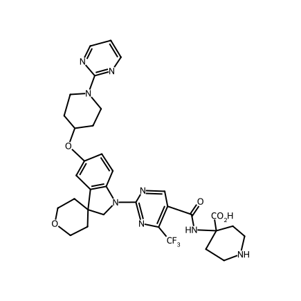 O=C(NC1(C(=O)O)CCNCC1)c1cnc(N2CC3(CCOCC3)c3cc(OC4CCN(c5ncccn5)CC4)ccc32)nc1C(F)(F)F